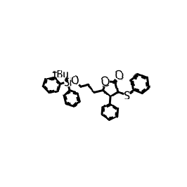 CC(C)(C)[Si](OCCCC1OC(=O)C(Sc2ccccc2)C1c1ccccc1)(c1ccccc1)c1ccccc1